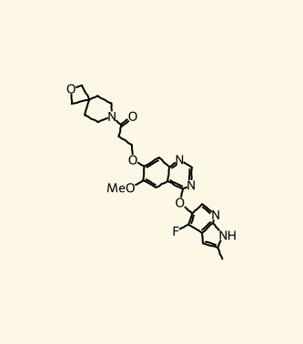 COc1cc2c(Oc3cnc4[nH]c(C)cc4c3F)ncnc2cc1OCCC(=O)N1CCC2(CC1)COC2